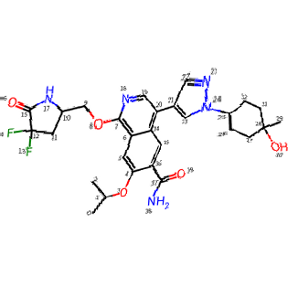 CC(C)Oc1cc2c(OCC3CC(F)(F)C(=O)N3)ncc(-c3cnn(C4CCC(C)(O)CC4)c3)c2cc1C(N)=O